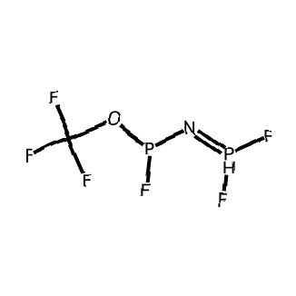 FP(N=[PH](F)F)OC(F)(F)F